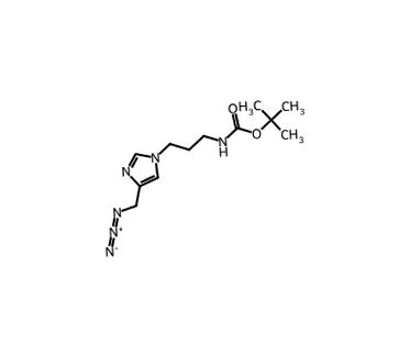 CC(C)(C)OC(=O)NCCCn1cnc(CN=[N+]=[N-])c1